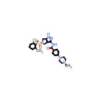 Cc1cccc(Cl)c1S(=O)(=O)N1Cc2[nH]nc(NC(=O)c3ccc(N4CCN(C)CC4)cc3)c2C1